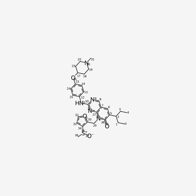 CCC(CC)c1cc2cnc(Nc3ccc(OC4CCN(C)CC4)cc3)nc2n(Cc2occc2[S+](C)[O-])c1=O